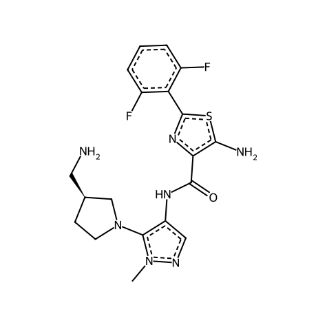 Cn1ncc(NC(=O)c2nc(-c3c(F)cccc3F)sc2N)c1N1CC[C@@H](CN)C1